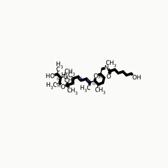 CO[C@@H]([C@@H](C)O)[C@@H](C)OC(C)(C)C[C@H](C)/C=C/C=C(\C)[C@H]1O[C@@H](CN(C)C(=O)CCCCCO)CC[C@@H]1C